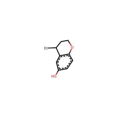 CCC1CCOc2ccc(O)cc21